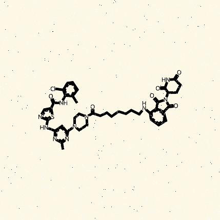 Cc1nc(Nc2ncc(C(=O)Nc3c(C)cccc3Cl)s2)cc(N2CCN(C(=O)CCCCCCCNc3cccc4c3C(=O)N(C3CCC(=O)NC3=O)C4=O)CC2)n1